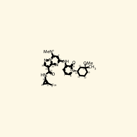 CNc1cc(Nc2cccn([C@@H]3CCC[C@](C)(OC)C3)c2=O)nc2c(C(=O)NC3=C(F)C3)cnn12